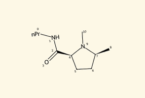 CCCNC(=O)[C@@H]1CC[C@H](C)N1C